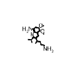 COc1cc(N)c2nc(C(C)C)c(C(C)CCCN)cc2c1OC